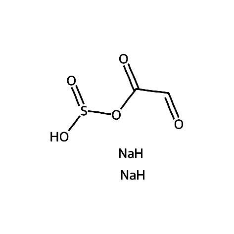 O=CC(=O)OS(=O)O.[NaH].[NaH]